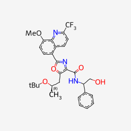 COc1ccc(-c2nc(C(=O)NC(CO)c3ccccc3)c(C[C@@H](C)OC(C)(C)C)o2)c2ccc(C(F)(F)F)nc12